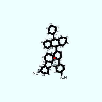 N#Cc1ccc(-c2ccc(-c3c4ccccc4c(-c4ccccc4)c4ccccc34)cc2)c(-n2c3ccccc3c3cc(C#N)ccc32)c1